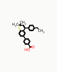 CCc1ccc(C2=CC(C)(C)Sc3ccc(-c4ccc(C(=O)O)cc4)cc32)cc1